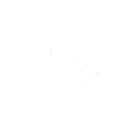 Fc1ccc2c(c1)CC(COc1ccc(Cc3cc(Br)ccc3Cl)cc1)O2